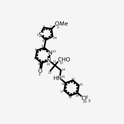 COc1csc(-c2ccc(=O)n(C(C)(C=O)CNc3ccc(C(F)(F)F)cc3)n2)c1